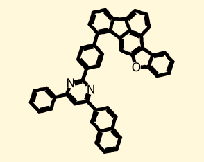 c1ccc(-c2cc(-c3ccc4ccccc4c3)nc(-c3ccc(-c4cccc5c4-c4cc6oc7ccccc7c6c6cccc-5c46)cc3)n2)cc1